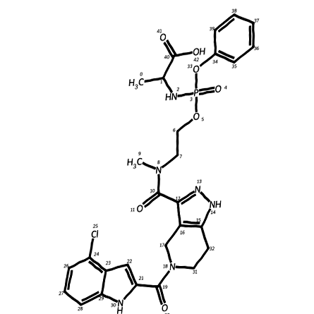 CC(NP(=O)(OCCN(C)C(=O)c1n[nH]c2c1CN(C(=O)c1cc3c(Cl)cccc3[nH]1)CC2)Oc1ccccc1)C(=O)O